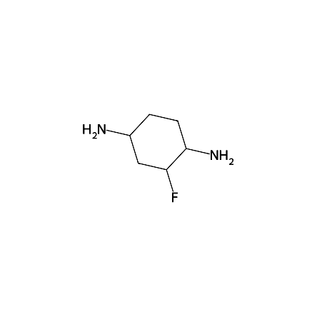 NC1CCC(N)C(F)C1